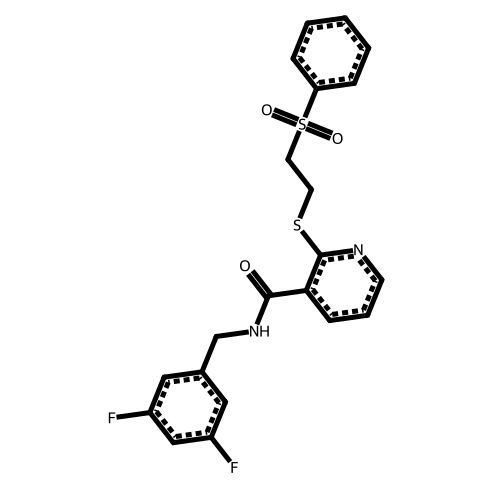 O=C(NCc1cc(F)cc(F)c1)c1cccnc1SCCS(=O)(=O)c1ccccc1